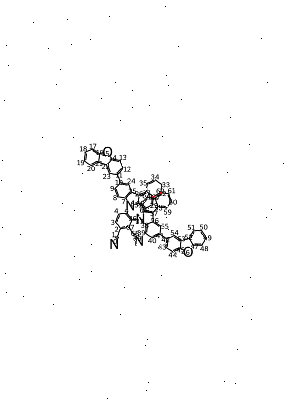 N#Cc1ccc(-n2c3ccc(-c4ccc5oc6ccccc6c5c4)cc3c3c4c(ccc32)CCC=C4)c(-n2c3ccc(-c4ccc5oc6ccccc6c5c4)cc3c3c4ccccc4ccc32)c1C#N